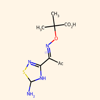 CC(=O)/C(=N\OC(C)(C)C(=O)O)C1=NSC(N)N1